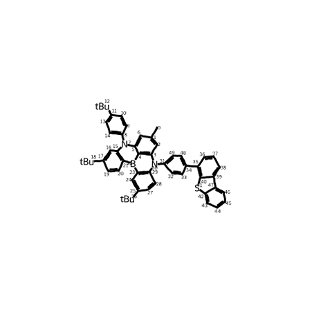 Cc1cc2c3c(c1)N(c1ccc(C(C)(C)C)cc1)c1cc(C(C)(C)C)ccc1B3c1cc(C(C)(C)C)ccc1N2c1ccc(-c2cccc3c2sc2ccccc23)cc1